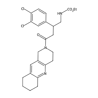 CCOC(=O)NCC(CC(=O)N1CCc2nc3c(cc2C1)CCCC3)c1ccc(Cl)c(Cl)c1